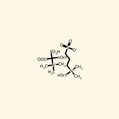 CCCCCCCCC(C(=O)[O-])([N+](C)(C)C)S(=O)(=O)O.CCCCCCCC[N+](C)(C)CCCS(=O)(=O)[O-]